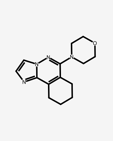 c1cn2nc(N3CCOCC3)c3c(c2n1)CCCC3